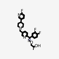 C[C@H](O)CO/N=C(\c1ccc(F)c(F)c1)c1ccc(CN2CCC(c3ccc(F)nc3)CC2)cn1